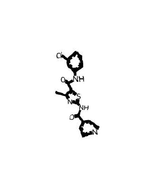 Cc1nc(NC(=O)c2ccncc2)sc1C(=O)Nc1cccc(Cl)c1